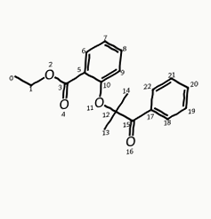 CCOC(=O)c1ccccc1OC(C)(C)C(=O)c1ccccc1